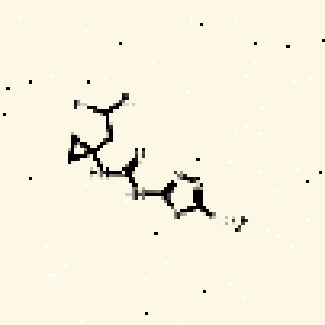 CCOC(=O)c1nnc(NC(=O)NC2(CC(CC)CC)CC2)s1